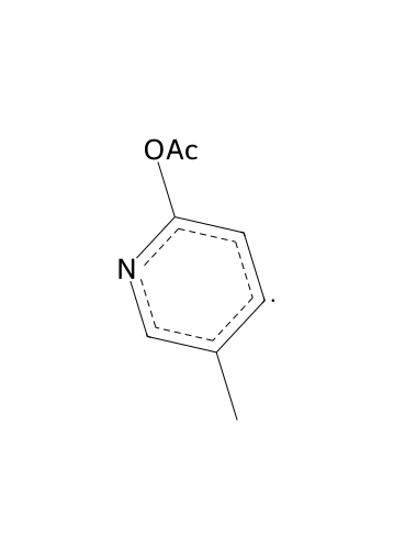 CC(=O)Oc1c[c]c(C)cn1